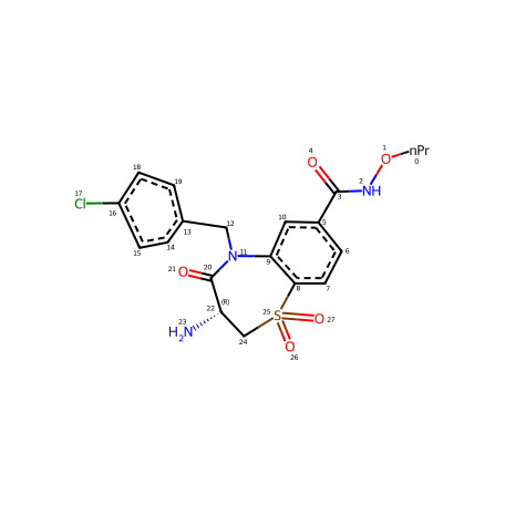 CCCONC(=O)c1ccc2c(c1)N(Cc1ccc(Cl)cc1)C(=O)[C@@H](N)CS2(=O)=O